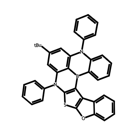 CC(C)(C)c1cc2c3c(c1)N(c1ccccc1)c1sc4oc5ccccc5c4c1B3c1ccccc1N2c1ccccc1